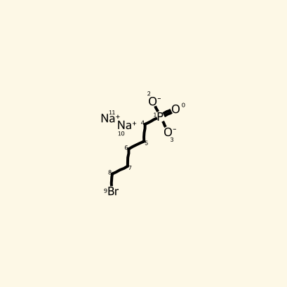 O=P([O-])([O-])CCCCCBr.[Na+].[Na+]